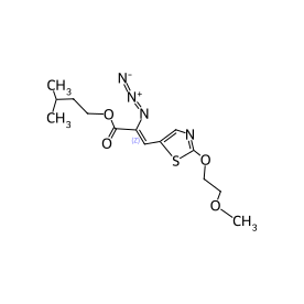 COCCOc1ncc(/C=C(\N=[N+]=[N-])C(=O)OCCC(C)C)s1